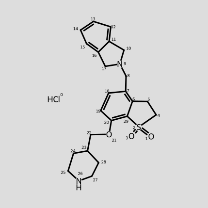 Cl.O=S1(=O)CCc2c(CN3Cc4ccccc4C3)ccc(OCC3CCNCC3)c21